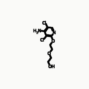 Nc1c(Cl)cnc(OCCOCCO)c1Cl